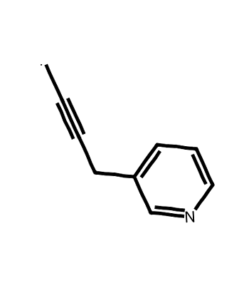 [CH2]C#CCc1cccnc1